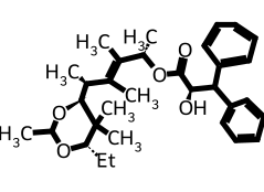 CC[C@@H]1OC(C)O[C@@H]([C@@H](C)/C(C)=C(\C)[C@H](C)OC(=O)[C@H](O)C(c2ccccc2)c2ccccc2)C1(C)C